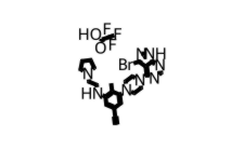 C#Cc1cc(NCCN2CCCC2)c(C)c(N2CCN(c3ncnc4[nH]nc(Br)c34)CC2)c1.O=C(O)C(F)(F)F